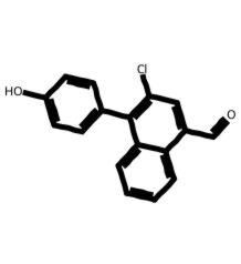 O=Cc1cc(Cl)c(-c2ccc(O)cc2)c2ccccc12